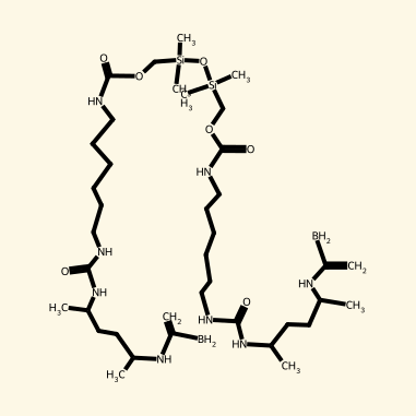 BC(=C)NC(C)CCC(C)NC(=O)NCCCCCCNC(=O)OC[Si](C)(C)O[Si](C)(C)COC(=O)NCCCCCCNC(=O)NC(C)CCC(C)NC(B)=C